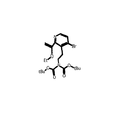 C=C(OCC)c1nccc(Br)c1CCN(C(=O)OC(C)(C)C)C(=O)OC(C)(C)C